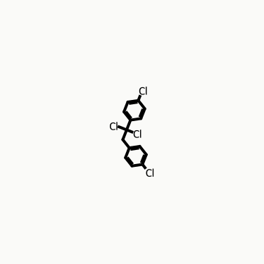 Clc1ccc(CC(Cl)(Cl)c2ccc(Cl)cc2)cc1